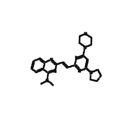 CN(C)c1nc(C=Cc2nc(N3CCCC3)cc(N3CCOCC3)n2)nc2ccccc12